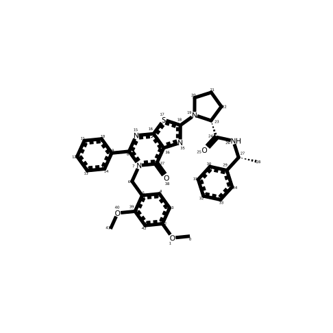 COc1ccc(Cn2c(-c3ccccc3)nc3sc(N4CCC[C@@H]4C(=O)N[C@H](C)c4ccccc4)nc3c2=O)c(OC)c1